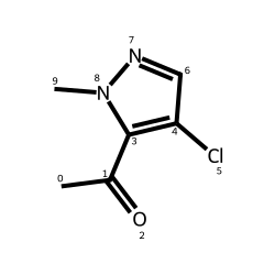 CC(=O)c1c(Cl)cnn1C